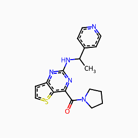 CC(Nc1nc(C(=O)N2CCCC2)c2sccc2n1)c1ccncc1